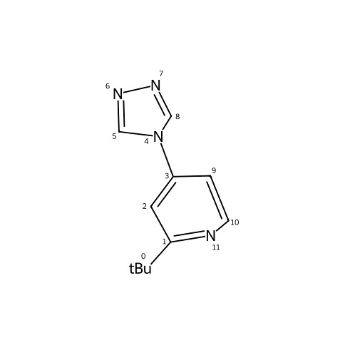 CC(C)(C)c1cc(-n2cnnc2)ccn1